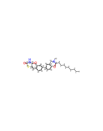 CCCCCCCCCC(=O)N(C)Cc1cccc(-c2ccc(C=C3SC(=O)NC3=O)cc2)c1